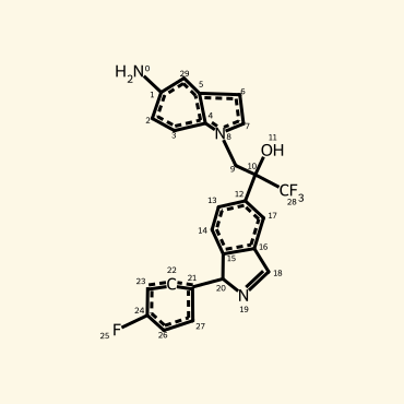 Nc1ccc2c(ccn2CC(O)(c2ccc3c(c2)C=NC3c2ccc(F)cc2)C(F)(F)F)c1